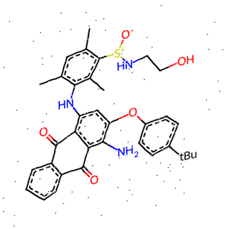 Cc1cc(C)c([S+]([O-])NCCO)c(C)c1Nc1cc(Oc2ccc(C(C)(C)C)cc2)c(N)c2c1C(=O)c1ccccc1C2=O